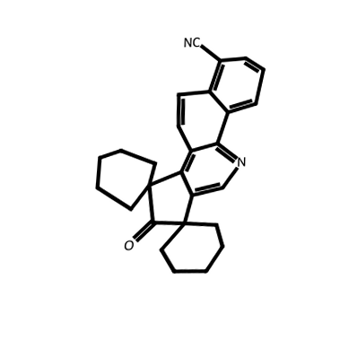 N#Cc1cccc2c1ccc1c3c(cnc12)C1(CCCCC1)C(=O)C31CCCCC1